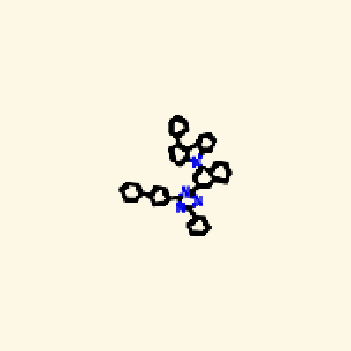 c1ccc(-c2ccc(-c3nc(-c4ccccc4)nc(-c4cc(-n5c6ccccc6c6c(-c7ccccc7)cccc65)c5ccccc5c4)n3)cc2)cc1